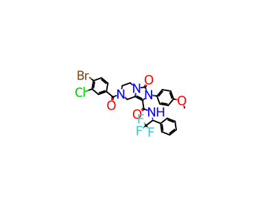 COc1ccc(-n2c(C(=O)N[C@H](c3ccccc3)C(F)(F)F)c3n(c2=O)CCN(C(=O)c2ccc(Br)c(Cl)c2)C3)cc1